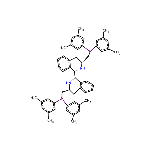 Cc1cc(C)cc(P(C[C@@H]2Cc3ccccc3[C@@H]([C@H]3N[C@H](CP(c4cc(C)cc(C)c4)c4cc(C)cc(C)c4)Cc4ccccc43)N2)c2cc(C)cc(C)c2)c1